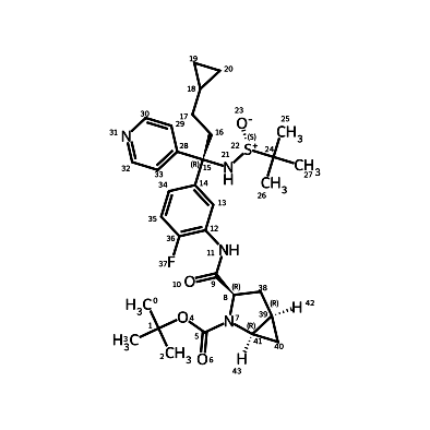 CC(C)(C)OC(=O)N1[C@@H](C(=O)Nc2cc([C@@](CCC3CC3)(N[S@+]([O-])C(C)(C)C)c3ccncc3)ccc2F)C[C@H]2C[C@H]21